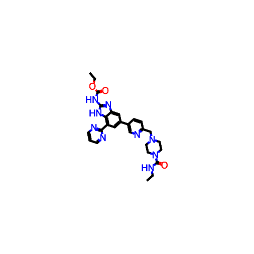 CCNC(=O)N1CCN(Cc2ccc(-c3cc(-c4ncccn4)c4[nH]c(NC(=O)OCC)nc4c3)cn2)CC1